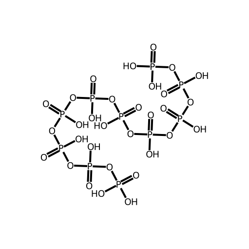 O=P(O)(O)OP(=O)(O)OP(=O)(O)OP(=O)(O)OP(=O)(O)OP(=O)(O)OP(=O)(O)OP(=O)(O)OP(=O)(O)OP(=O)(O)O